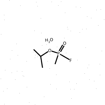 CC(C)OP(C)(=O)F.O